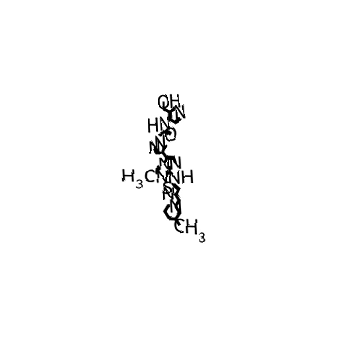 Cc1cn2c(-c3cnn(CC(=O)Nc4ccncc4CO)c3)cnc2c(Nc2cc(CN3CCCC(C)C3)ns2)n1